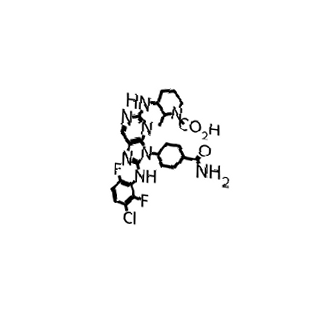 CC1C(Nc2ncc3nc(Nc4c(F)ccc(Cl)c4F)n(C4CCC(C(N)=O)CC4)c3n2)CCCN1C(=O)O